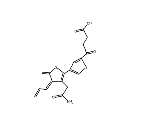 C=C/C=c1/c(CC(N)=O)c(-c2csc(C(=O)CCC(=O)O)c2)sc1=C